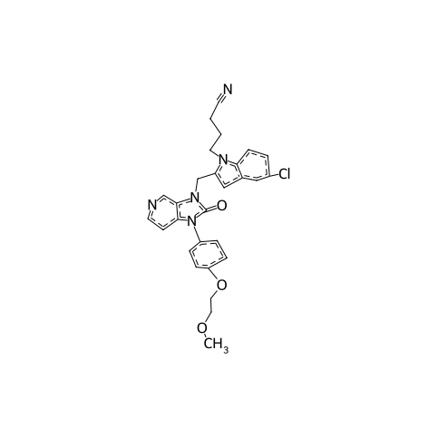 COCCOc1ccc(-n2c(=O)n(Cc3cc4cc(Cl)ccc4n3CCCC#N)c3cnccc32)cc1